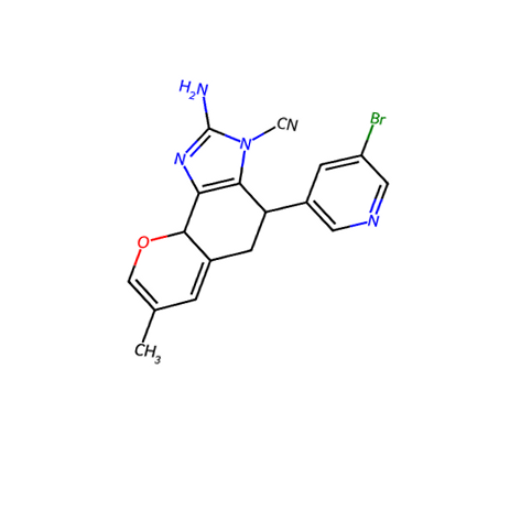 CC1=COC2C(=C1)CC(c1cncc(Br)c1)c1c2nc(N)n1C#N